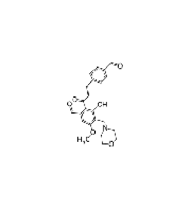 COc1cc(C=O)c(C(=O)/C=C/c2ccc(C=O)cc2)c(O)c1CN1CCOCC1